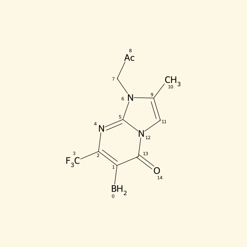 Bc1c(C(F)(F)F)nc2n(CC(C)=O)c(C)cn2c1=O